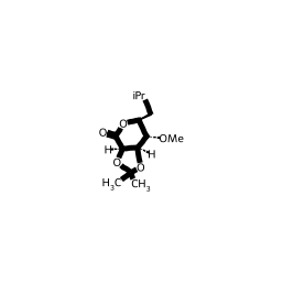 CO[C@@H]1[C@H]2OC(C)(C)O[C@H]2C(=O)O[C@H]1CC(C)C